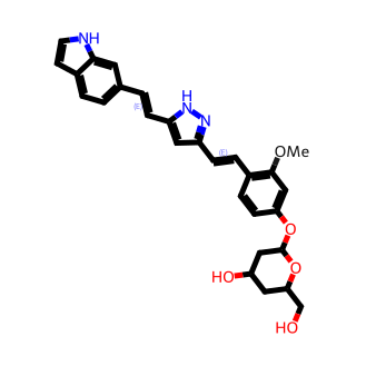 COc1cc(OC2CC(O)CC(CO)O2)ccc1/C=C/c1cc(/C=C/c2ccc3cc[nH]c3c2)[nH]n1